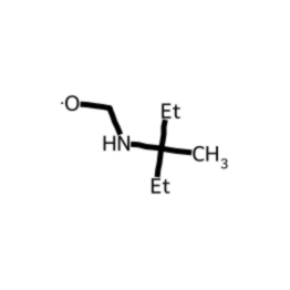 CCC(C)(CC)NC[O]